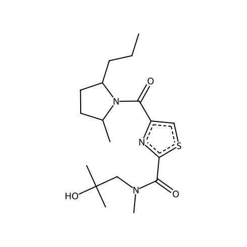 CCCC1CCC(C)N1C(=O)c1csc(C(=O)N(C)CC(C)(C)O)n1